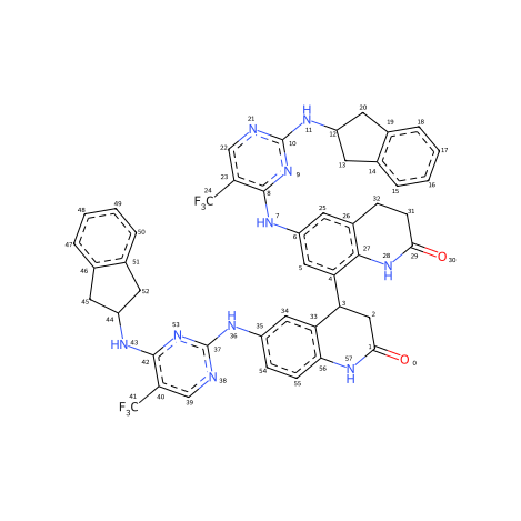 O=C1CC(c2cc(Nc3nc(NC4Cc5ccccc5C4)ncc3C(F)(F)F)cc3c2NC(=O)CC3)c2cc(Nc3ncc(C(F)(F)F)c(NC4Cc5ccccc5C4)n3)ccc2N1